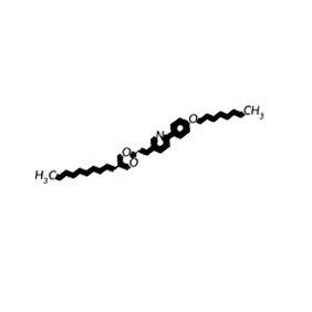 CCCCCCCCCC[C@H]1CO[C@H](CCc2ccc(-c3ccc(OCCCCCCCC)cc3)nc2)OC1